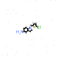 Nc1ccc2c(c1)CCN2Cc1ccc(Cl)s1